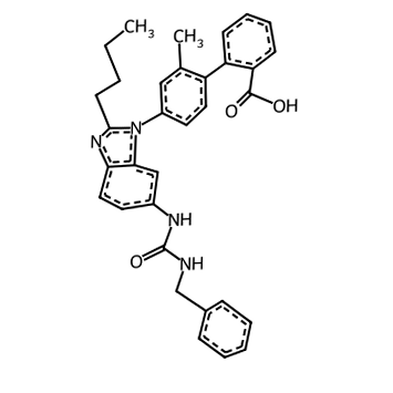 CCCCc1nc2ccc(NC(=O)NCc3ccccc3)cc2n1-c1ccc(-c2ccccc2C(=O)O)c(C)c1